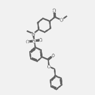 COC(=O)C1CCC(N(C)S(=O)(=O)c2cccc(C(=O)OCc3ccccc3)c2)CC1